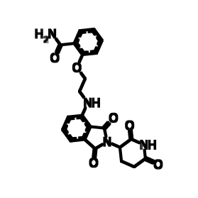 NC(=O)c1ccccc1OCCNc1cccc2c1C(=O)N(C1CCC(=O)NC1=O)C2=O